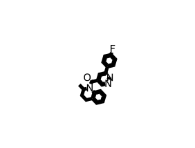 CC1CCc2ccccc2N1C(=O)c1cnnc(-c2ccc(F)cc2)c1